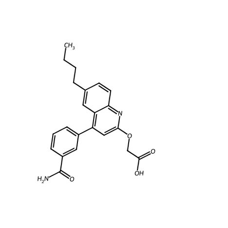 CCCCc1ccc2nc(OCC(=O)O)cc(-c3cccc(C(N)=O)c3)c2c1